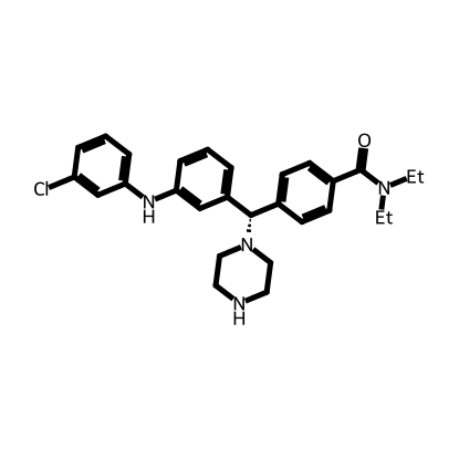 CCN(CC)C(=O)c1ccc([C@@H](c2cccc(Nc3cccc(Cl)c3)c2)N2CCNCC2)cc1